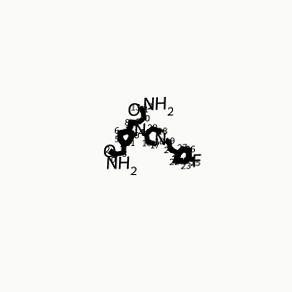 NC(=O)Cc1ccc2cc(CC(N)=O)n(C3CCN(CCc4ccc(F)cc4)CC3)c2c1